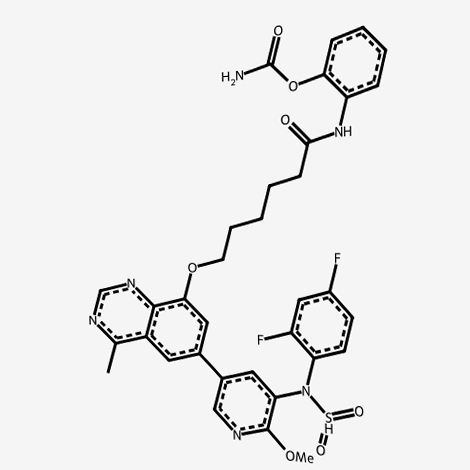 COc1ncc(-c2cc(OCCCCCC(=O)Nc3ccccc3OC(N)=O)c3ncnc(C)c3c2)cc1N(c1ccc(F)cc1F)[SH](=O)=O